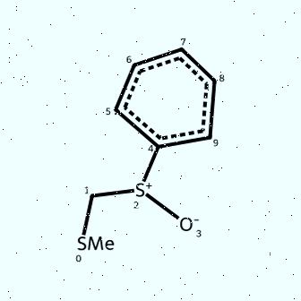 CSC[S+]([O-])c1[c]cccc1